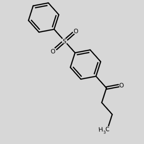 CCCC(=O)c1ccc(S(=O)(=O)c2ccccc2)cc1